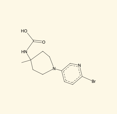 CC1(NC(=O)O)CCN(c2ccc(Br)nc2)CC1